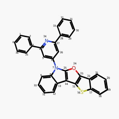 c1ccc(-c2cc(-n3c4ccccc4c4c5sc6ccccc6c5oc43)cc(-c3ccccc3)n2)cc1